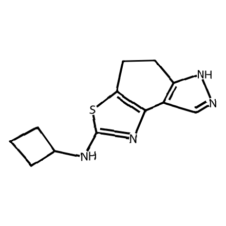 c1n[nH]c2c1-c1nc(NC3CCC3)sc1CC2